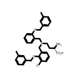 Cc1cccc(COc2ccccc2CN(CC[C@H](N)C(=O)O)Cc2cccc(Cl)c2OCc2cccc(C)c2)c1